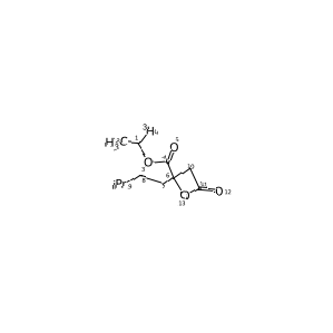 [3H]C(C)OC(=O)C1(CCC(C)C)CC(=O)O1